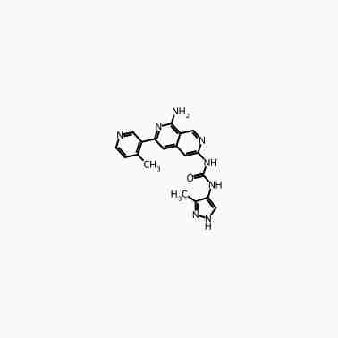 Cc1ccncc1-c1cc2cc(NC(=O)Nc3c[nH]nc3C)ncc2c(N)n1